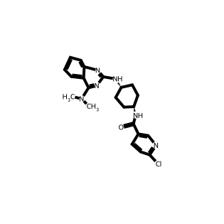 CN(C)c1nc(N[C@H]2CC[C@@H](NC(=O)c3ccc(Cl)nc3)CC2)nc2ccccc12